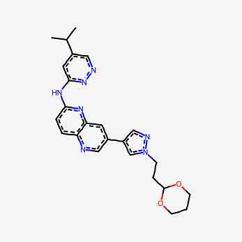 CC(C)c1cnnc(Nc2ccc3ncc(-c4cnn(CCC5OCCCO5)c4)cc3n2)c1